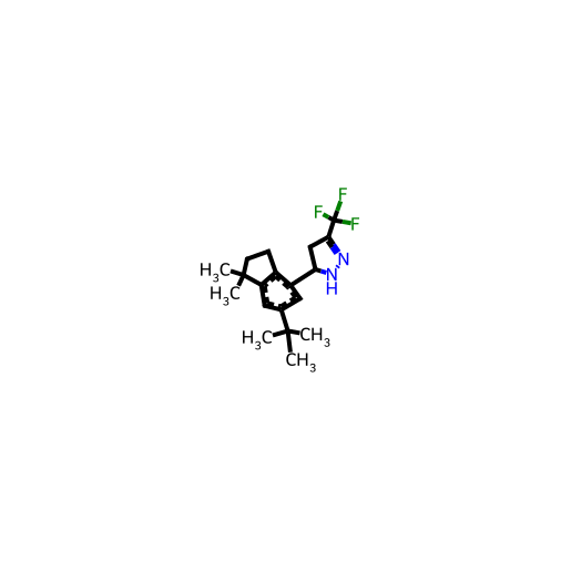 CC(C)(C)c1cc(C2CC(C(F)(F)F)=NN2)c2c(c1)C(C)(C)CC2